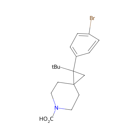 CC(C)(C)C1(c2ccc(Br)cc2)CC12CCN(C(=O)O)CC2